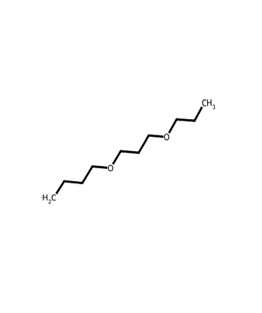 [CH2]CCCOCCCOCCC